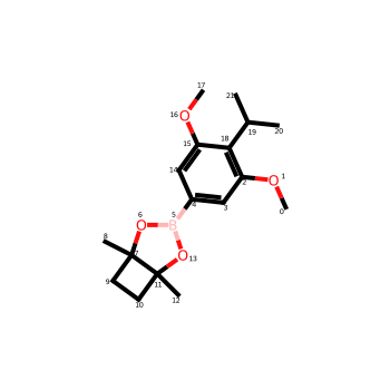 COc1cc(B2OC3(C)CCC3(C)O2)cc(OC)c1C(C)C